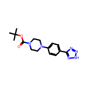 CC(C)(C)OC(=O)N1CCN(c2ccc(-c3nn[nH]n3)cc2)CC1